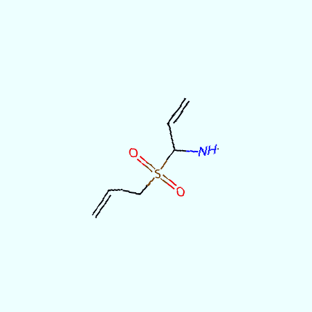 C=CCS(=O)(=O)C([NH])C=C